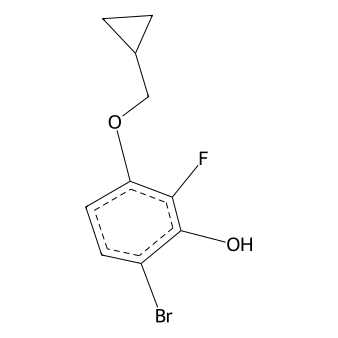 Oc1c(Br)ccc(OCC2CC2)c1F